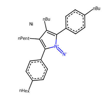 CCCCCCc1ccc(C2=C(CCCCC)C(CCCC)=C(c3ccc(CCCC)cc3)[N+]2=[N-])cc1.[Ni]